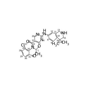 CC1Oc2nc(Nc3ccc4c(c3)CNCC4(C)C)ncc2C(=O)N1c1c(Cl)cccc1Cl